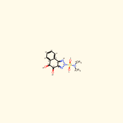 CN(C)S(=O)(=O)n1nc2c(n1)-c1ccccc1C(=O)C2=O